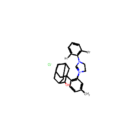 Cc1ccc(C23CC4CC(CC(C4)C2O)C3)c([N+]2=CN(c3c(C(C)C)cccc3C(C)C)CC2)c1.[Cl-]